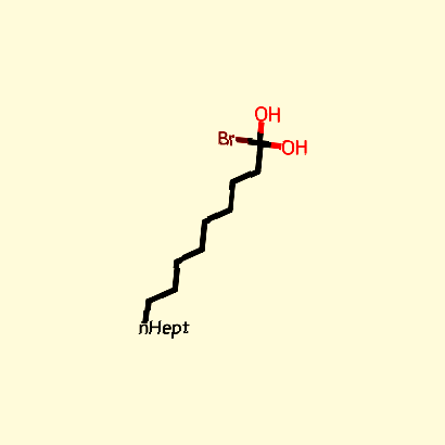 CCCCCCCCCCCCCCCC(O)(O)Br